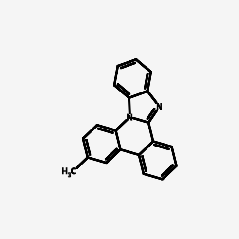 Cc1ccc2c(c1)c1ccccc1c1nc3ccccc3n21